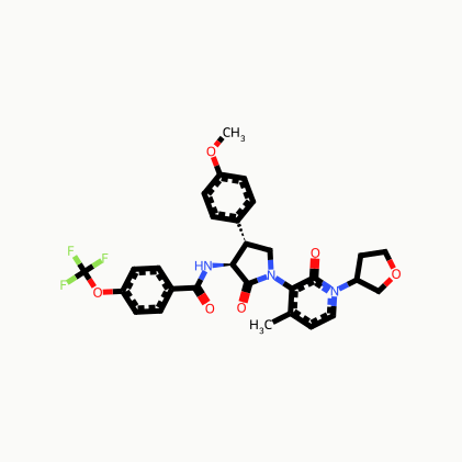 COc1ccc([C@@H]2CN(c3c(C)ccn(C4CCOC4)c3=O)C(=O)[C@H]2NC(=O)c2ccc(OC(F)(F)F)cc2)cc1